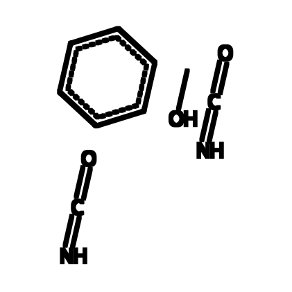 CO.N=C=O.N=C=O.c1ccccc1